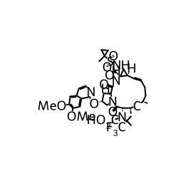 COc1cc2ccnc(O[C@@H]3C[C@H]4C(=O)N[C@]5(C(=O)NS(=O)(=O)C6(C)CC6)C[C@H]5/C=C\CC[C@@H](C)C[C@@H](C)[C@H](N(C(=O)O)C(C)(C)C(F)(F)F)C(=O)N4C3)c2cc1OC